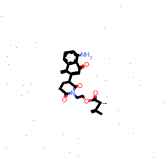 C=C1C(C2CCC(=O)N(CCOC(=O)[C@H](C)C(=C)C)C2=O)=CC(=O)c2c(N)cccc21